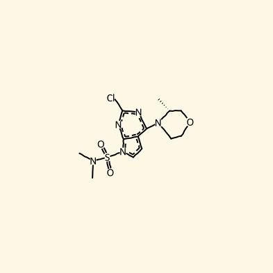 C[C@@H]1COCCN1c1nc(Cl)nc2c1ccn2S(=O)(=O)N(C)C